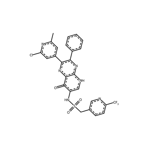 Cc1cc(-c2nc3c(=O)c(NS(=O)(=O)Cc4ccc(C(F)(F)F)nc4)c[nH]c3nc2-c2ccccc2)cc(Cl)n1